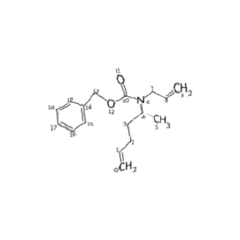 C=CCC[C@@H](C)N(CC=C)C(=O)OCc1ccccc1